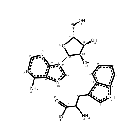 NC(Cc1c[nH]c2ccccc12)C(=O)O.Nc1ncnc2c1ncn2[C@@H]1O[C@H](CO)[C@@H](O)[C@H]1O